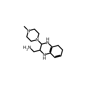 CN1CCN(C2NC3=C(C=CCC3)NC2CN)CC1